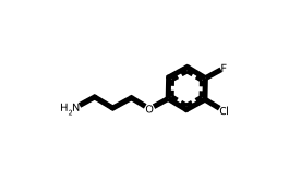 NCCCOc1ccc(F)c(Cl)c1